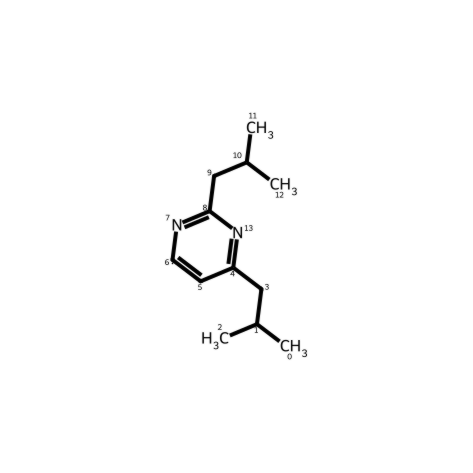 CC(C)Cc1c[c]nc(CC(C)C)n1